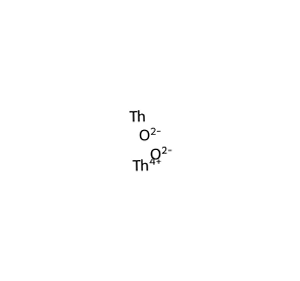 [O-2].[O-2].[Th+4].[Th]